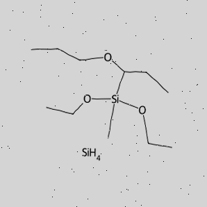 CCCOC(CC)[Si](C)(OCC)OCC.[SiH4]